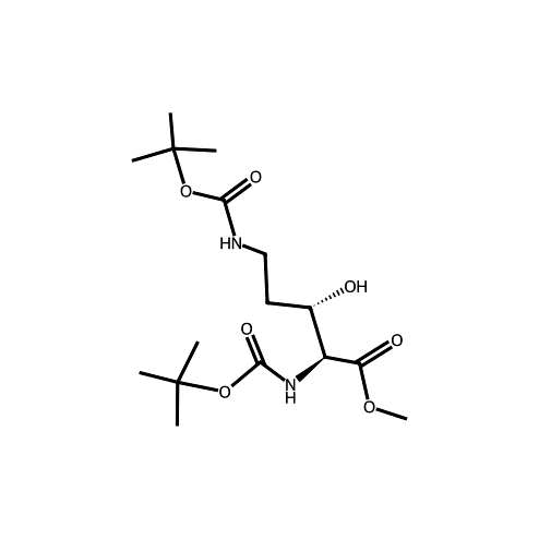 COC(=O)[C@@H](NC(=O)OC(C)(C)C)[C@@H](O)CCNC(=O)OC(C)(C)C